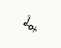 O=CC=Cc1cccn1-c1ccc(C(F)(F)F)cc1